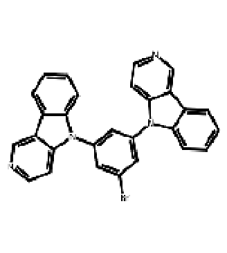 Brc1cc(-n2c3ccccc3c3cnccc32)cc(-n2c3ccccc3c3cnccc32)c1